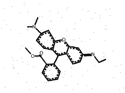 CC/N=c1\ccc2c(-c3ccccc3C(=O)OC)c3ccc(N(C)C)cc3oc-2c1